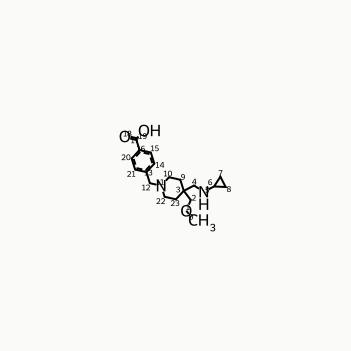 COCC1(CNC2CC2)CCN(Cc2ccc(C(=O)O)cc2)CC1